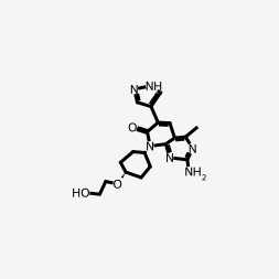 Cc1nc(N)nc2c1cc(-c1cn[nH]c1)c(=O)n2[C@H]1CC[C@@H](OCCO)CC1